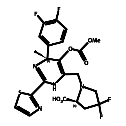 COC(=O)OC1=C(CN2CC(F)(F)C[C@H]2C(=O)O)NC(c2nccs2)=N[C@@]1(C)c1ccc(F)c(F)c1